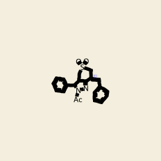 CC(=O)N1N=C2/C(=C\c3ccccc3)CS(=O)(=O)CC2C1c1ccccc1